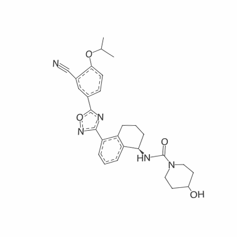 CC(C)Oc1ccc(-c2nc(-c3cccc4c3CCC[C@H]4NC(=O)N3CCC(O)CC3)no2)cc1C#N